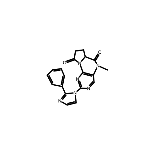 CN1C(=O)C2CCC(=O)N2c2nc(-n3ccnc3-c3ccccc3)ncc21